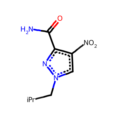 CC(C)Cn1cc([N+](=O)[O-])c(C(N)=O)n1